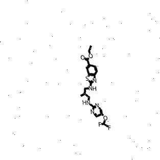 CCOC(=O)c1ccc2nc(NCC(C)CNc3ncc(OC(F)F)cn3)sc2c1